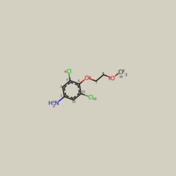 Nc1cc(Cl)c(OCCOC(F)(F)F)c(Cl)c1